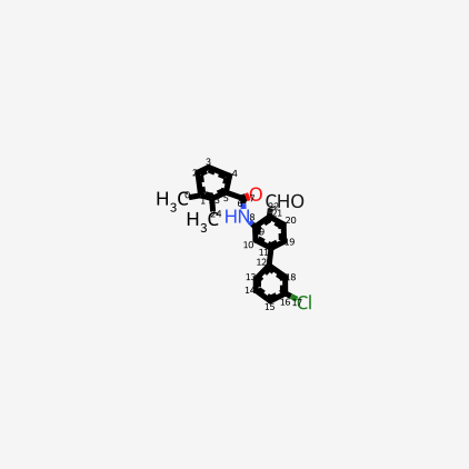 Cc1cccc(C(=O)Nc2cc(-c3cccc(Cl)c3)ccc2C=O)c1C